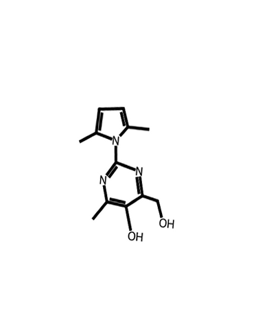 Cc1nc(-n2c(C)ccc2C)nc(CO)c1O